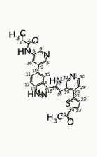 CCC(=O)Nc1cncc(-c2ccc3[nH]nc(-c4cc5c(-c6ccc(C(C)=O)s6)ccnc5[nH]4)c3c2)c1